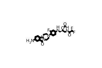 Nc1ccc2c(c1)c(=O)n1n2CCN(c2ccc(NC[C@H](CNC(=O)C(F)F)OC=O)cc2F)CC1